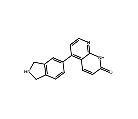 O=c1ccc2c(-c3ccc4c(c3)CNC4)ccnc2[nH]1